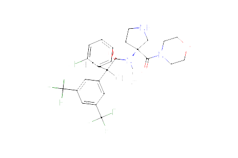 CN(C(=O)C(C)(C)c1cc(C(F)(F)F)cc(C(F)(F)F)c1)[C@]1(C(=O)N2CCOCC2)CNC[C@H]1c1ccc(Cl)cc1